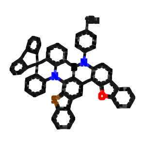 CC(C)(C)c1ccc(N2B3c4cccc5c4N(c4ccccc4C54c5ccccc5-c5ccccc54)c4c3c(cc3c4sc4ccccc43)-c3c2ccc2c3oc3ccccc32)cc1